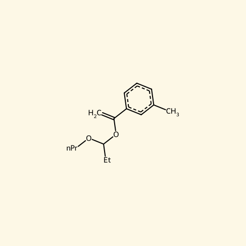 C=C(OC(CC)OCCC)c1cccc(C)c1